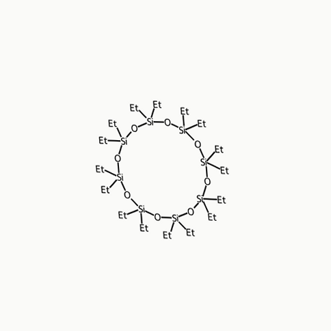 CC[Si]1(CC)O[Si](CC)(CC)O[Si](CC)(CC)O[Si](CC)(CC)O[Si](CC)(CC)O[Si](CC)(CC)O[Si](CC)(CC)O[Si](CC)(CC)O1